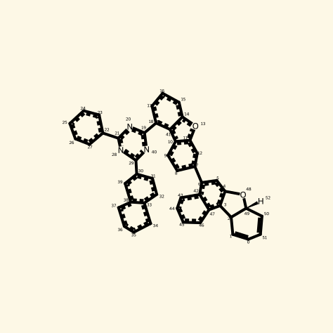 C1=CC2c3c(cc(-c4ccc5c(c4)oc4cccc(-c6nc(-c7ccccc7)nc(-c7ccc8ccccc8c7)n6)c45)c4ccccc34)O[C@@H]2C=C1